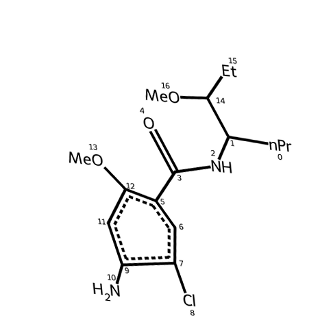 CCCC(NC(=O)c1cc(Cl)c(N)cc1OC)C(CC)OC